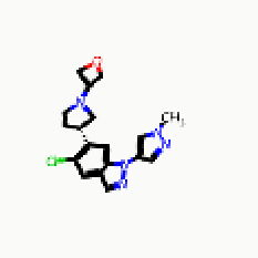 Cn1cc(-n2ncc3cc(Cl)c([C@@H]4CCN(C5COC5)C4)cc32)cn1